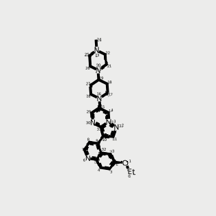 CCOc1ccc2nccc(-c3cnn4cc(N5CCC(N6CCN(C)CC6)CC5)cnc34)c2c1